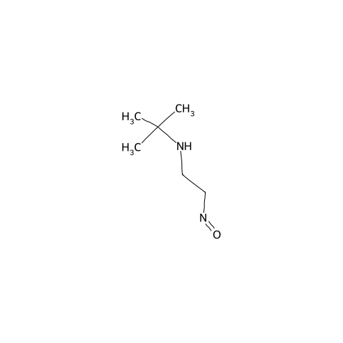 CC(C)(C)NCCN=O